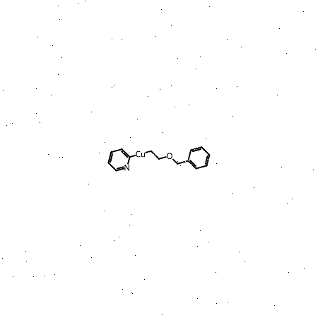 c1ccc(COC[CH2][Cu][c]2ccccn2)cc1